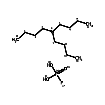 CCCCN(CCCC)CCCC.O=P(O)(O)F